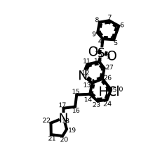 Cl.O=S(=O)(c1ccccc1)c1cnc2c(CCCN3CCCC3)cccc2c1